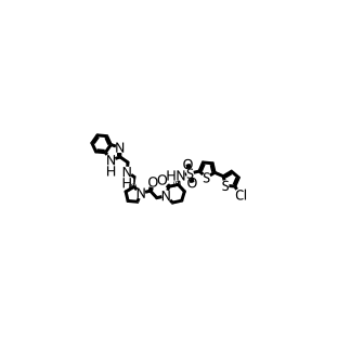 O=C1[C@@H](NS(=O)(=O)c2ccc(-c3ccc(Cl)s3)s2)CCCN1CC(=O)N1CCC[C@H]1CNCc1nc2ccccc2[nH]1